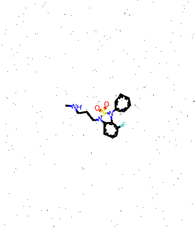 CNCCCN1c2cccc(F)c2N(c2ccccc2)S1(=O)=O